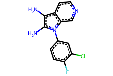 Nc1c(N)n(-c2ccc(F)c(Cl)c2)c2cnccc12